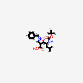 CC(C)CC(NC(=O)OC(C)(C)C)C1ON(Cc2ccccc2)CC1C(=O)O